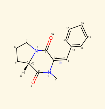 CN1C(=O)[C@@H]2CCCN2C(=O)/C1=C\c1ccccc1